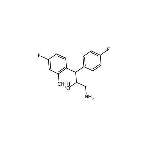 Cc1cc(F)ccc1C(c1ccc(F)cc1)C(O)CN